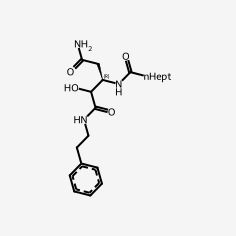 CCCCCCCC(=O)N[C@H](CC(N)=O)C(O)C(=O)NCCc1ccccc1